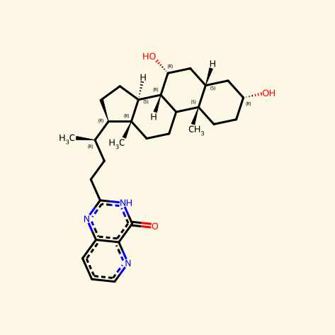 C[C@H](CCc1nc2cccnc2c(=O)[nH]1)[C@H]1CC[C@H]2[C@H]3C(CC[C@]12C)[C@@]1(C)CC[C@@H](O)C[C@H]1C[C@H]3O